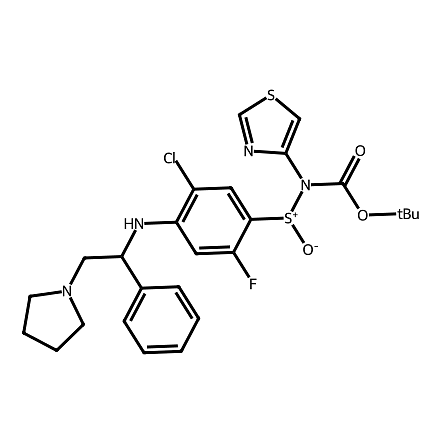 CC(C)(C)OC(=O)N(c1cscn1)[S+]([O-])c1cc(Cl)c(NC(CN2CCCC2)c2ccccc2)cc1F